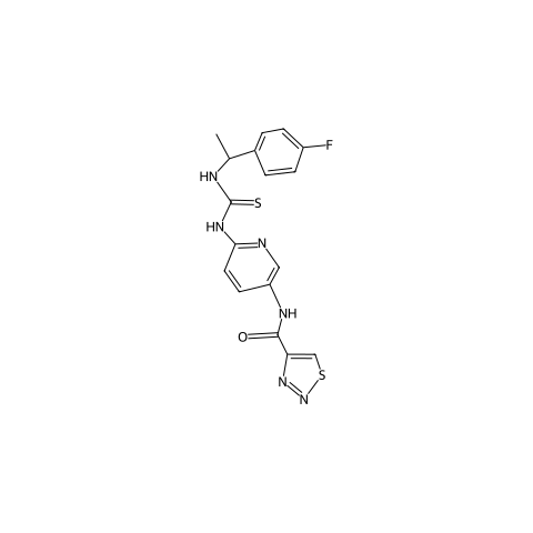 CC(NC(=S)Nc1ccc(NC(=O)c2csnn2)cn1)c1ccc(F)cc1